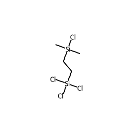 C[Si](C)(Cl)CC[Si](Cl)(Cl)Cl